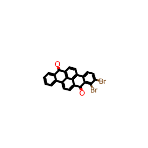 O=C1c2ccccc2-c2ccc3c4c(ccc1c24)-c1ccc(Br)c(Br)c1C3=O